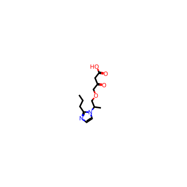 CCCc1nccn1C(C)COCC(=O)CC(=O)O